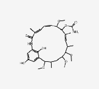 COC1/C=C\C=C(/C)C(=O)Nc2cc(O)cc(c2O)C(OC)C(C)CC(OC)C(OC)C(C)/C=C(\C)C1OC(N)=O